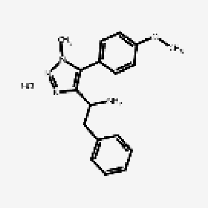 COc1ccc(-c2c(C(N)Cc3ccccc3)nnn2C)cc1.Cl